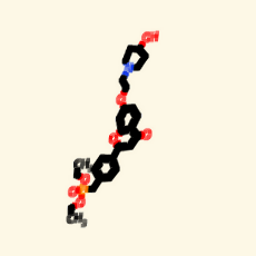 CCOP(=O)(Cc1ccc(-c2cc(=O)c3ccc(OCCN4CCC(O)CC4)cc3o2)cc1)OCC